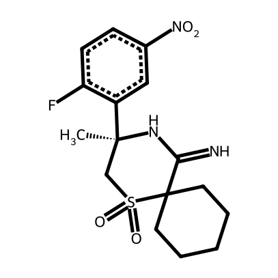 C[C@@]1(c2cc([N+](=O)[O-])ccc2F)CS(=O)(=O)C2(CCCCC2)C(=N)N1